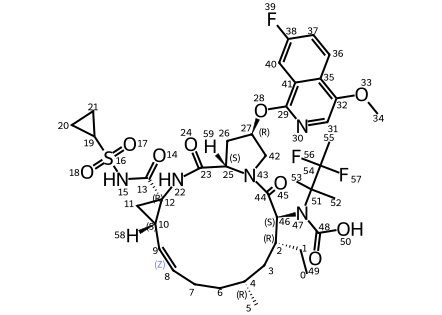 CC[C@@H]1C[C@H](C)CC/C=C\[C@@H]2C[C@@]2(C(=O)NS(=O)(=O)C2CC2)NC(=O)[C@@H]2C[C@@H](Oc3ncc(OC)c4ccc(F)cc34)CN2C(=O)[C@H]1N(C(=O)O)C(C)(C)C(C)(F)F